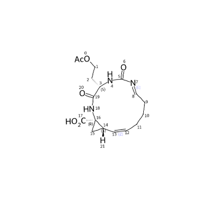 CC(=O)OCC[C@@H]1NC(=O)/N=C/CCC/C=C\[C@@H]2C[C@@]2(C(=O)O)NC1=O